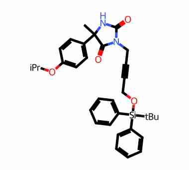 CC(C)Oc1ccc(C2(C)NC(=O)N(CC#CCO[Si](c3ccccc3)(c3ccccc3)C(C)(C)C)C2=O)cc1